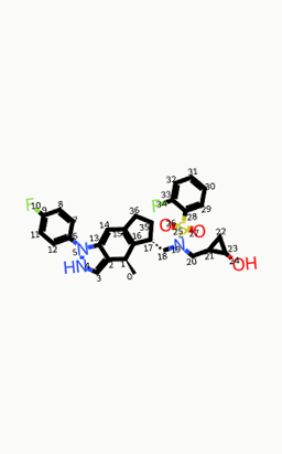 C[C@H]1C2=CNN(c3ccc(F)cc3)C2=CC2=C1[C@@H](CN(CC1CC1O)S(=O)(=O)c1ccccc1F)CC2